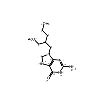 CC(=O)OCCC(COC(C)=O)CN1CNc2c1nc(N)[nH]c2=O